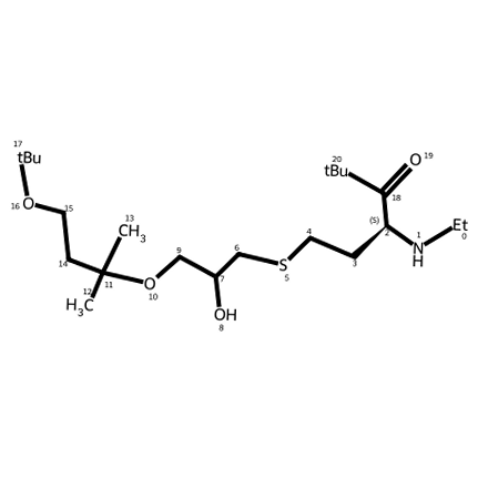 CCN[C@@H](CCSCC(O)COC(C)(C)CCOC(C)(C)C)C(=O)C(C)(C)C